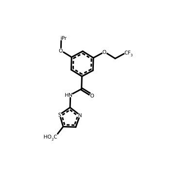 CC(C)Oc1cc(OCC(F)(F)F)cc(C(=O)Nc2ncc(C(=O)O)s2)c1